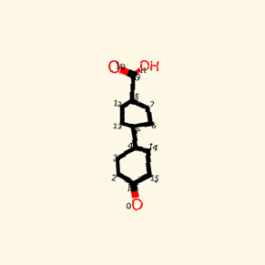 O=C1CCC(C2CCC(C(=O)O)CC2)CC1